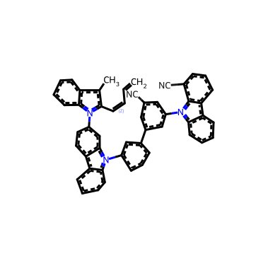 C=C/C=C\c1c(C)c2ccccc2n1-c1ccc2c3ccccc3n(-c3cccc(-c4cc(C#N)cc(-n5c6ccccc6c6cccc(C#N)c65)c4)c3)c2c1